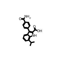 CC(C)c1cccc2c(-c3ccc(C(N)=O)cc3)c(C(=O)O)[nH]c12